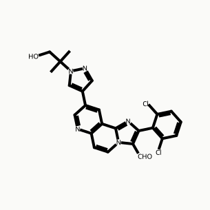 CC(C)(CO)n1cc(-c2cnc3ccn4c(C=O)c(-c5c(Cl)cccc5Cl)nc4c3c2)cn1